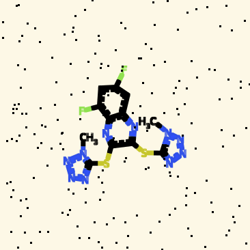 Cn1nnnc1Sc1nc2cc(F)cc(F)c2nc1Sc1nnnn1C